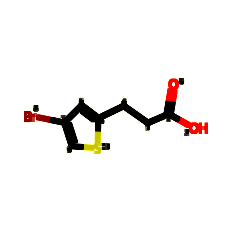 O=C(O)CCc1cc(Br)cs1